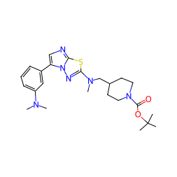 CN(C)c1cccc(-c2cnc3sc(N(C)CC4CCN(C(=O)OC(C)(C)C)CC4)nn23)c1